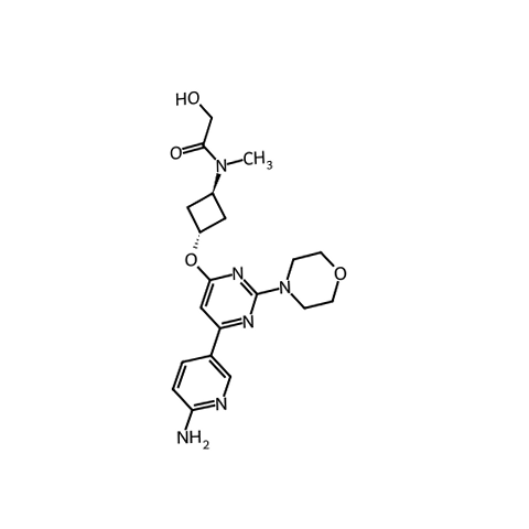 CN(C(=O)CO)[C@H]1C[C@H](Oc2cc(-c3ccc(N)nc3)nc(N3CCOCC3)n2)C1